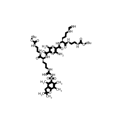 Cc1c(C)c(S(=O)(=O)NC(=N)NCCC[C@H](NC(=O)c2nc(N)c(C(=O)N[C@@H](CCCNC=N)C(=O)NCCNC(=O)OC(C)(C)C)nc2N)C(=O)NCCNC(=O)OC(C)(C)C)c(C)c2c1OC(C)(C)C2